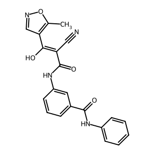 Cc1oncc1C(O)=C(C#N)C(=O)Nc1cccc(C(=O)Nc2ccccc2)c1